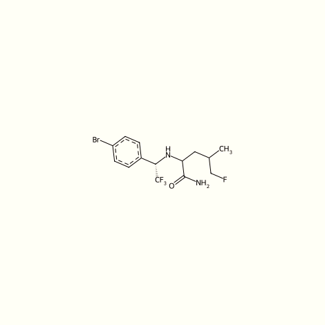 CC(CF)CC(N[C@@H](c1ccc(Br)cc1)C(F)(F)F)C(N)=O